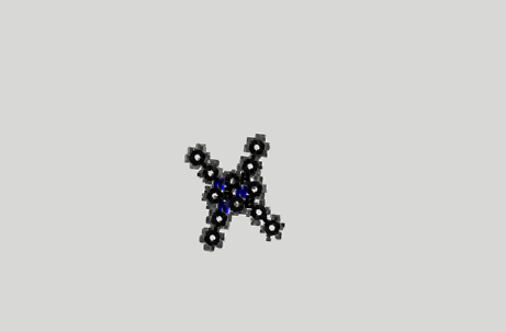 c1ccc(-c2ccc(B3c4cccc5c4N4c6c3ccc3c6B6c7c(cccc7N(c7ccc(-c8ccccc8)cc7)c7ccc(c4c76)B5c4ccc(-c5ccccc5)cc4)N3c3ccc(-c4ccccc4)cc3)cc2)cc1